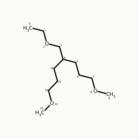 CCOCC(CCCOC)CCCOC